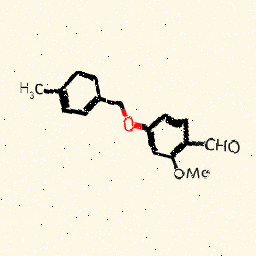 COc1cc(OCc2ccc(C)cc2)ccc1C=O